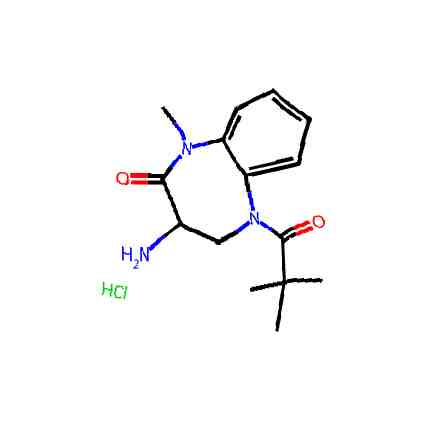 CN1C(=O)C(N)CN(C(=O)C(C)(C)C)c2ccccc21.Cl